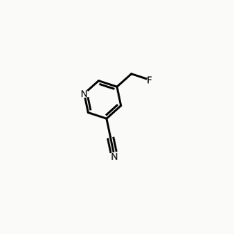 N#Cc1cncc(CF)c1